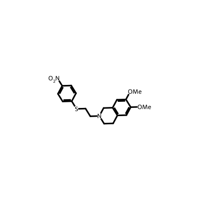 COc1cc2c(cc1OC)CN(CCSc1ccc([N+](=O)[O-])cc1)CC2